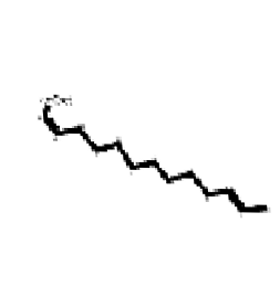 CC=CCCCCCCCC/C=C\CCCCCCCC